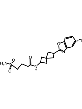 NS(=O)(=O)CCCC(=O)NC1CC2(C1)CC(c1nc3cc(Cl)ccc3o1)C2